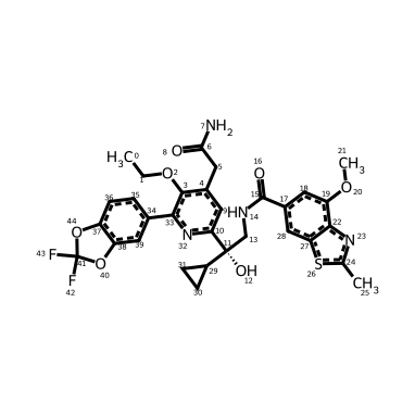 CCOc1c(CC(N)=O)cc([C@@](O)(CNC(=O)c2cc(OC)c3nc(C)sc3c2)C2CC2)nc1-c1ccc2c(c1)OC(F)(F)O2